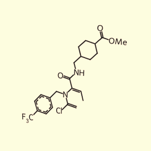 C=C(Cl)N(Cc1ccc(C(F)(F)F)cc1)/C(=C\C)C(=O)NCC1CCC(C(=O)OC)CC1